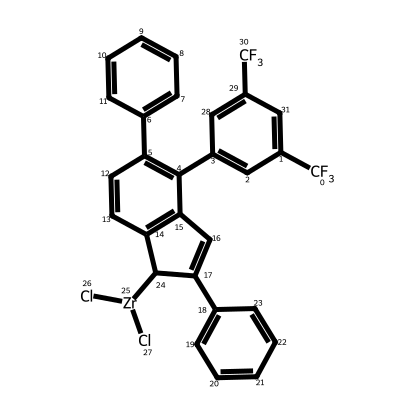 FC(F)(F)c1cc(-c2c(-c3ccccc3)ccc3c2C=C(c2ccccc2)[CH]3[Zr]([Cl])[Cl])cc(C(F)(F)F)c1